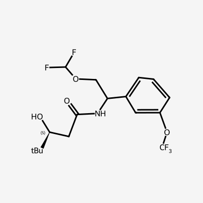 CC(C)(C)[C@@H](O)CC(=O)NC(COC(F)F)c1cccc(OC(F)(F)F)c1